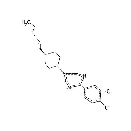 CCCC=C[C@H]1CC[C@H](c2cnc(-c3ccc(Cl)c(Cl)c3)nc2)CC1